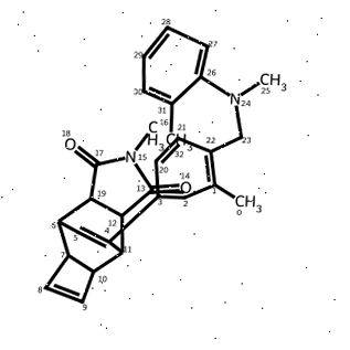 Cc1cc(C2=CC3C4C=CC4C2C2C(=O)N(C)C(=O)C32)ccc1CN(C)c1ccccc1C